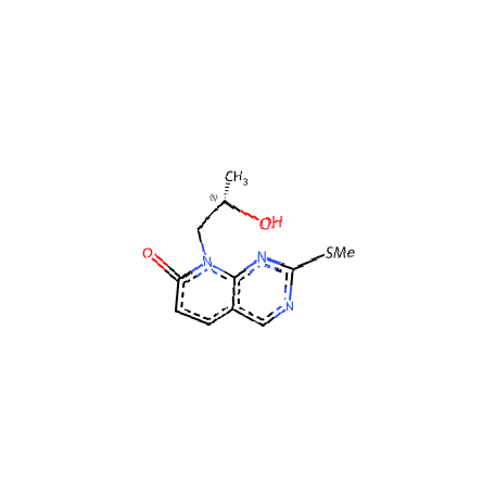 CSc1ncc2ccc(=O)n(C[C@H](C)O)c2n1